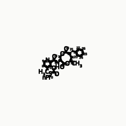 CCCSC(=O)Oc1c(C)ccnc1C(=O)N[C@H]1COC(=O)[C@H](Cc2ccccc2)CC(C)OC1=O